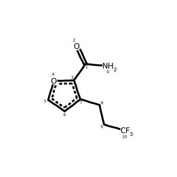 NC(=O)c1occc1CCC(F)(F)F